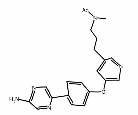 CC(=O)N(C)CCCc1cncc(Oc2ccc(-c3cnc(N)cn3)cc2)c1